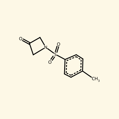 Cc1ccc(S(=O)(=O)N2CC(=O)C2)cc1